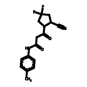 Cc1ccc(NC(=O)CC(=O)N2CC(F)(F)CC2C#N)cc1